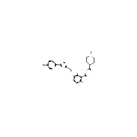 Cc1ccc(-c2nsc(COc3ccc(F)c(C(=O)NC(=O)C4CCN(C)CC4)c3F)n2)nc1